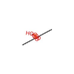 CCCCCCCCCCCCCCCC(=O)C(OS(=O)(=O)OCCO)C(=O)CCCCCCCCCCCCCCC